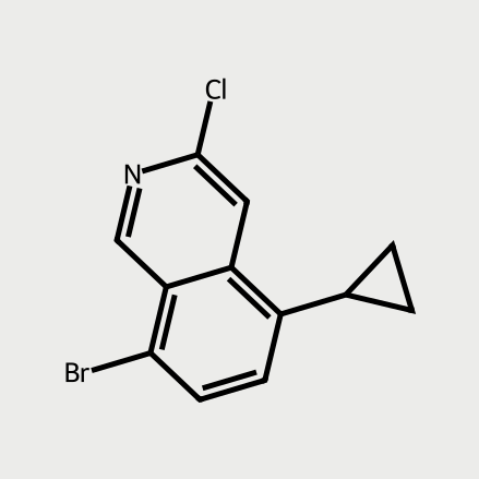 Clc1cc2c(C3CC3)ccc(Br)c2cn1